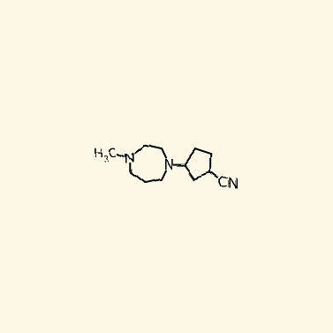 CN1CCCN(C2CCC(C#N)C2)CC1